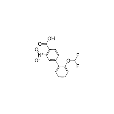 O=C(O)c1ccc(-c2ccccc2OC(F)F)cc1[N+](=O)[O-]